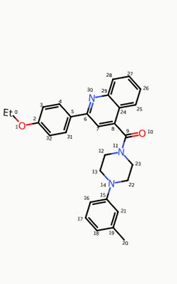 CCOc1ccc(-c2cc(C(=O)N3CCN(c4cccc(C)c4)CC3)c3ccccc3n2)cc1